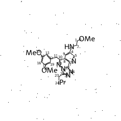 COCCNc1cnc2c(c1)c(Cc1cc(OC)cc(OC)c1)nn1c(CC(C)C)nnc21